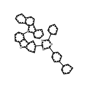 c1ccc(-c2ccc(-c3nc(-c4ccccc4)nc(-c4ccc5oc6cccc(-n7c8ccccc8c8ccc9ccccc9c87)c6c5c4)n3)cc2)cc1